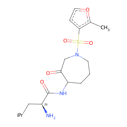 Cc1occc1S(=O)(=O)N1CCCC(NC(=O)[C@@H](N)CC(C)C)C(=O)C1